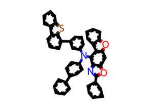 c1ccc(-c2ccc(N(c3cccc(-c4cccc5c4sc4ccccc45)c3)c3c4nc(-c5ccccc5)oc4cc4oc5ccccc5c34)cc2)cc1